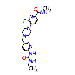 CCNC(=O)Nc1ccc(CN2CCN(c3ccc(C(=O)NC)nc3F)CC2)cn1